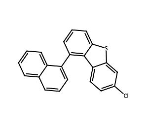 Clc1ccc2c(c1)sc1cccc(-c3cccc4ccccc34)c12